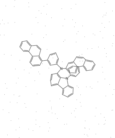 c1ccc(-n2c3ccccc3c3cccc(N(c4cccc(-c5cccc6c5ccc5ccccc56)c4)c4ccc5c(ccc6ccccc65)c4)c32)cc1